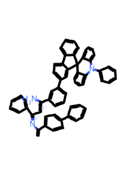 C=C(/N=C(\C=C(/N)c1cccc(-c2ccc3c(c2)C2(c4ccccc4-3)c3ccccc3N(c3ccccc3)c3ccccc32)c1)c1ccccc1)c1ccc(-c2ccccc2)cc1